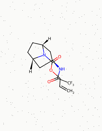 C=CCOC(=O)N1[C@@H]2CC[C@H]1C[C@H](NC(=O)C(F)(F)F)C2